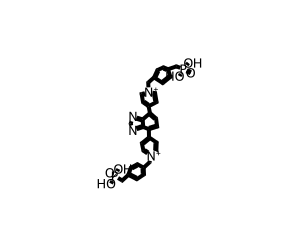 O=P(O)(O)Cc1ccc(C[n+]2ccc(-c3ccc(-c4cc[n+](Cc5ccc(CP(=O)(O)O)cc5)cc4)c4c3=NCN=4)cc2)cc1